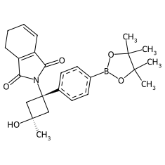 CC1(C)OB(c2ccc([C@]3(N4C(=O)C5=C(CCC=C5)C4=O)C[C@](C)(O)C3)cc2)OC1(C)C